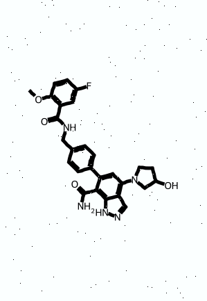 COc1ccc(F)cc1C(=O)NCc1ccc(-c2cc(N3CCC(O)C3)c3cn[nH]c3c2C(N)=O)cc1